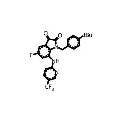 CC(C)(C)c1ccc(CN2C(=O)C(=O)c3cc(F)cc(Nc4ccc(C(F)(F)F)cn4)c32)cc1